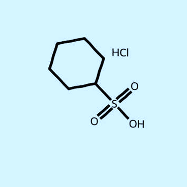 Cl.O=S(=O)(O)C1CCCCC1